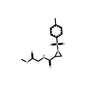 COC(=O)CNC(=O)C1CN1S(=O)(=O)c1ccc(C)cc1